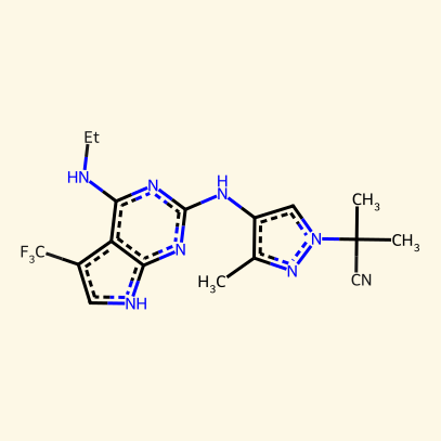 CCNc1nc(Nc2cn(C(C)(C)C#N)nc2C)nc2[nH]cc(C(F)(F)F)c12